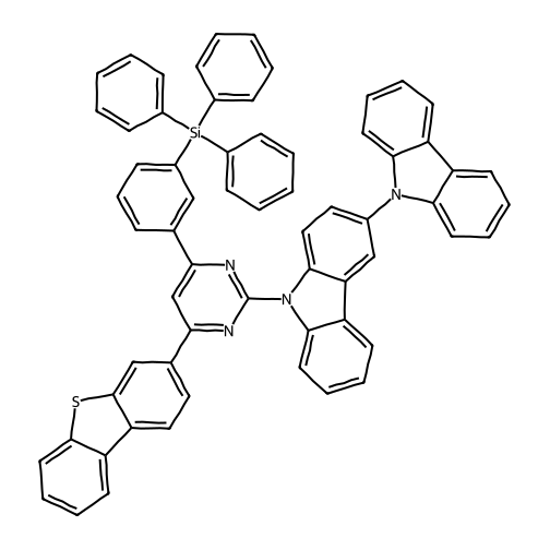 c1ccc([Si](c2ccccc2)(c2ccccc2)c2cccc(-c3cc(-c4ccc5c(c4)sc4ccccc45)nc(-n4c5ccccc5c5cc(-n6c7ccccc7c7ccccc76)ccc54)n3)c2)cc1